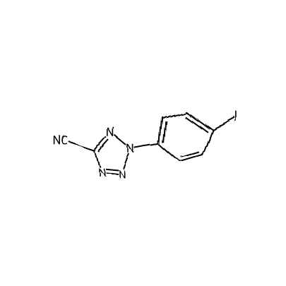 N#Cc1nnn(-c2ccc(I)cc2)n1